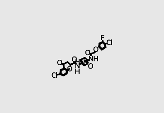 O=C(COc1ccc(Cl)c(F)c1)NC12CCC(NC(=O)C3CC(=O)c4cc(Cl)ccc4O3)(CC1)NC2=O